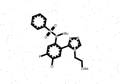 CCCCN(c1cc(F)c(Cl)cc1-c1nncn1CCOC)S(=O)(=O)c1ccccc1